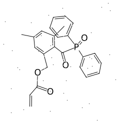 C=CC(=O)OCc1cc(C)cc(C)c1C(=O)P(=O)(c1ccccc1)c1ccccc1